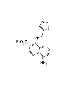 CCOC(=O)c1cnc2c(N)cccc2c1NCc1cccs1